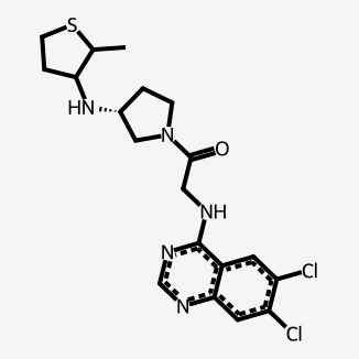 CC1SCCC1N[C@@H]1CCN(C(=O)CNc2ncnc3cc(Cl)c(Cl)cc23)C1